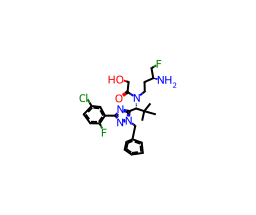 CC(C)(C)[C@H](c1nc(-c2cc(Cl)ccc2F)nn1Cc1ccccc1)N(CC[C@H](N)CF)C(=O)CO